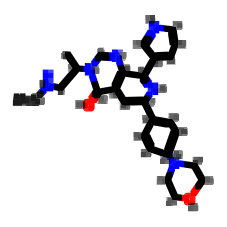 CSNCC(C)n1cnc2c(-c3cccnc3)nc(-c3ccc(N4CCOCC4)cc3)cc2c1=O